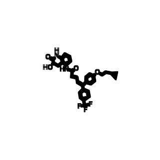 O=C(C=CC=C(c1ccc(OCCC2CC2)cc1)c1ccc(C(F)(F)F)cc1)Nc1cccc2c1CC(O)C(=O)N2